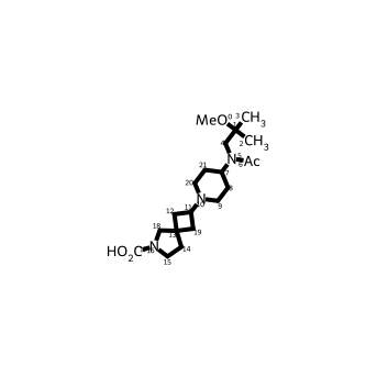 COC(C)(C)CN(C(C)=O)C1CCN(C2CC3(CCN(C(=O)O)C3)C2)CC1